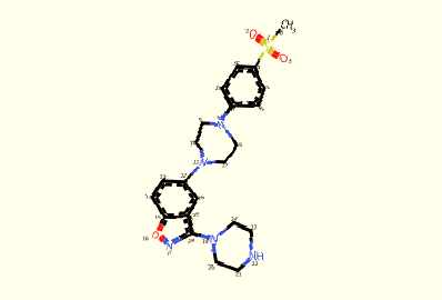 CS(=O)(=O)c1ccc(N2CCN(c3ccc4onc(N5CCNCC5)c4c3)CC2)cc1